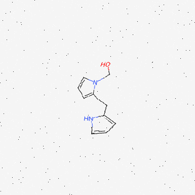 OCn1cccc1Cc1ccc[nH]1